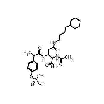 CC(=O)NC(C(=O)O)C(CC(=O)NCCCCC1CCCCC1)NC(=O)C(C)c1ccc(OP(=O)(O)O)cc1